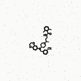 Cc1cccc(C)c1C(=O)NCCC(C)N1CCC(N(Cc2cccc(C#N)c2)c2ccc3c(c2)OCCO3)CC1